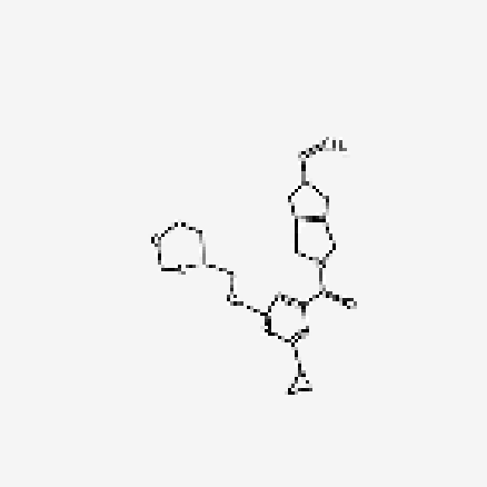 C=CN1CC2=C(C1)CN(C(=O)c1cc(OCC3CCOCC3)nc(C3CC3)c1)C2